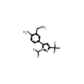 NCc1cc(-c2cc(C(F)(F)F)nn2C(F)F)ccc1N